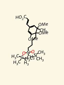 COC1=CC(C=CC(=O)O)=CC(C)(OC)C1(CCCC[Si](C)(O[Si](C)(C)C)O[Si](C)(C)C)OC